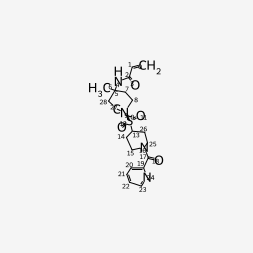 C=CC(=O)NC1(C)CCN(S(=O)(=O)C2CCN(C(=O)c3ccccn3)CC2)CC1